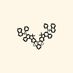 CC1(C)c2cc3c(cc2-c2c1cc(N(c1ccccc1)c1cccc4ccccc14)c1ccccc21)Oc1cccc2c1B3c1cc3c(cc1O2)-c1c(cc(N(c2ccccc2)c2cccc4ccccc24)c2ccccc12)C3(C)C